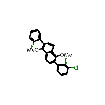 COc1c(-c2ccccc2F)ccc2c(OC)c(-c3cccc(Cl)c3F)ccc12